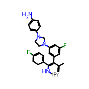 C=C(C)/C(=C(\NC(C)C)C1=CC=C(F)CC1)c1cc(F)cc(N2CCN(c3ccc(N)cc3)C2)c1